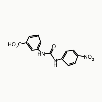 O=C(Nc1ccc([N+](=O)[O-])cc1)Nc1cccc(C(=O)O)c1